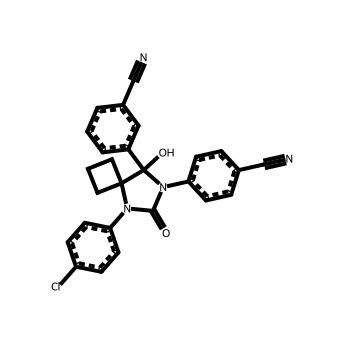 N#Cc1ccc(N2C(=O)N(c3ccc(Cl)cc3)C3(CCC3)C2(O)c2cccc(C#N)c2)cc1